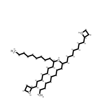 CCCCCCCCCC(CCCCCCCC1CCO1)OC(CCCCCCCCC)CCCCCCCC1CCO1